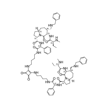 CC[C@H](NC)C(=O)N[C@@H]1C(=O)N2[C@@H](CC[C@@H]1CNCc1ccccc1)CC[C@H]2C(=O)N[C@H](C(=O)NCCCCNc1c(NCCCCNC(=O)[C@@H](NC(=O)[C@@H]2CC[C@@H]3CC[C@H](CNCc4ccccc4)[C@H](NC(=O)[C@H](CC)NC)C(=O)N32)c2ccccc2)c(=O)c1=O)c1ccccc1